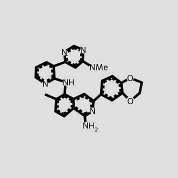 CNc1cc(-c2cccnc2Nc2c(C)ccc3c(N)nc(-c4ccc5c(c4)OCCO5)cc23)ncn1